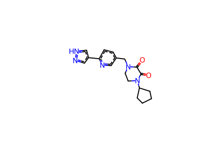 O=C1C(=O)N(C2CCCC2)CCN1Cc1ccc(-c2cn[nH]c2)nc1